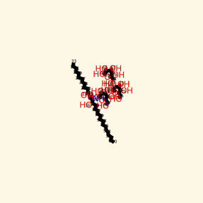 CCCCCCCCCCCCCC=CC(O)C(N)COC(=O)CCCCCCCCCCC.OCC1OC(O)C(O)C(O)C1O.OCC1OC(O)C(O)C(O)C1O.OCC1OC(O)C(O)C(O)C1O